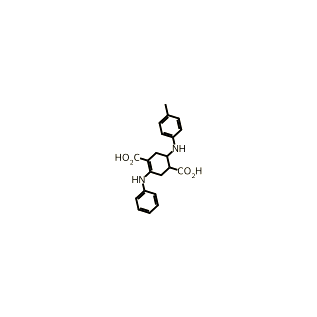 Cc1ccc(NC2CC(C(=O)O)=C(Nc3ccccc3)CC2C(=O)O)cc1